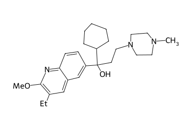 CCc1cc2cc(C(O)(CCN3CCN(C)CC3)C3CCCCC3)ccc2nc1OC